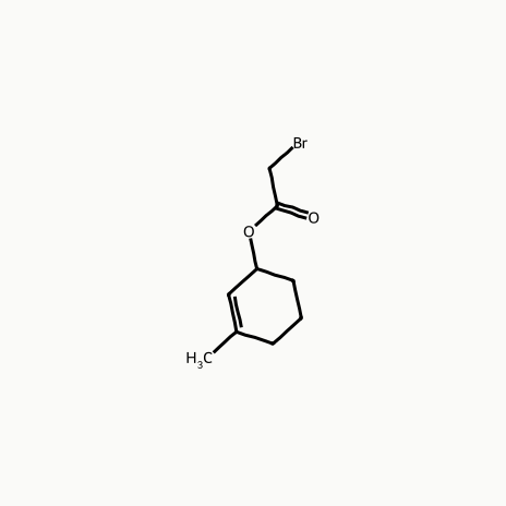 CC1=CC(OC(=O)CBr)CCC1